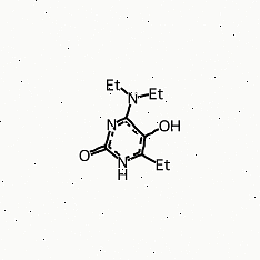 CCc1[nH]c(=O)nc(N(CC)CC)c1O